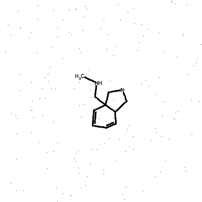 CNCC12C=CC=CC1C[N]C2